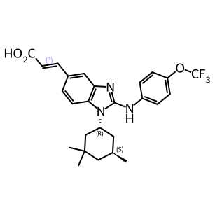 C[C@@H]1C[C@@H](n2c(Nc3ccc(OC(F)(F)F)cc3)nc3cc(/C=C/C(=O)O)ccc32)CC(C)(C)C1